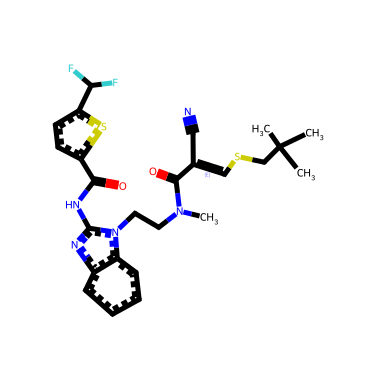 CN(CCn1c(NC(=O)c2ccc(C(F)F)s2)nc2ccccc21)C(=O)/C(C#N)=C/SCC(C)(C)C